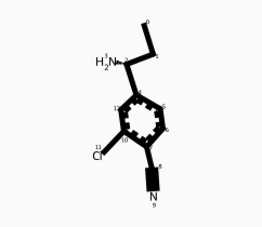 CC[C@@H](N)c1ccc(C#N)c(Cl)c1